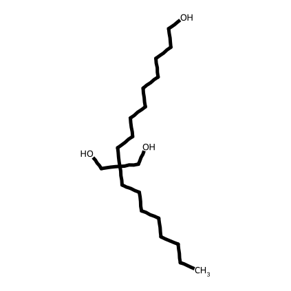 CCCCCCCCC(CO)(CO)CCCCCCCCCO